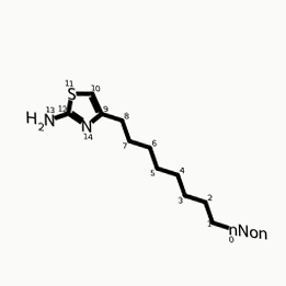 CCCCCCCCCCCCCCCCCc1csc(N)n1